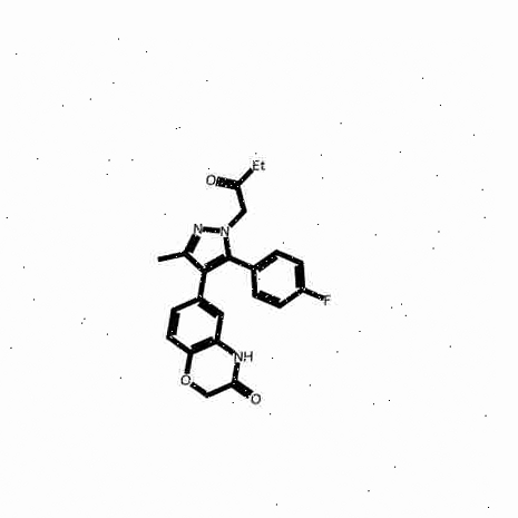 CCC(=O)Cn1nc(C)c(-c2ccc3c(c2)NC(=O)CO3)c1-c1ccc(F)cc1